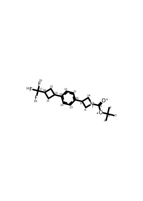 CC(C)(C)OC(=O)N1CC(c2ccc(C3CC(C(F)(F)F)C3)cc2)C1